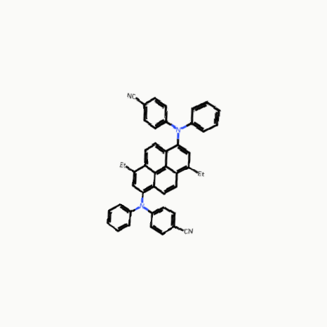 CCc1cc(N(c2ccccc2)c2ccc(C#N)cc2)c2ccc3c(CC)cc(N(c4ccccc4)c4ccc(C#N)cc4)c4ccc1c2c34